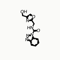 O=C(NCc1nc(CO)co1)n1nnc2ccccc21